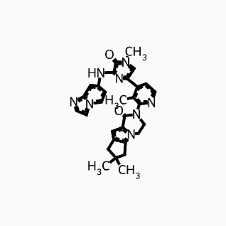 Cc1c(-c2cn(C)c(=O)c(Nc3ccn4ccnc4c3)n2)ccnc1N1CCn2c(cc3c2CC(C)(C)C3)C1=O